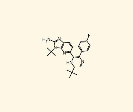 C=N/C(=C(\NCC(C)(C)C)c1ccc2nc(N)n(C(C)(C)C)c2n1)c1ccc(F)cc1